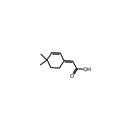 CC1(C)C=CC(=CC(=O)O)CC1